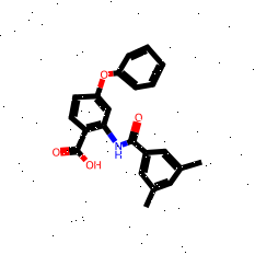 Cc1cc(C)cc(C(=O)Nc2cc(Oc3ccccc3)ccc2C(=O)O)c1